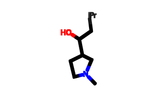 CC(C)CC(O)C1CCN(C)C1